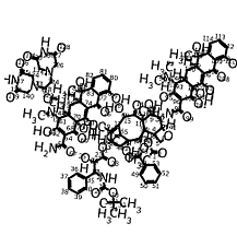 CC(=O)O[C@@]12CO[C@@H]1C[C@H](O)[C@@]1(C)C(=O)[C@H](O)C3=C(C)[C@@H](OC(=O)[C@H](O)[C@@H](NC(=O)OC(C)(C)C)c4ccccc4)C[C@@](O)([C@@H](OC(=O)c4ccccc4)[C@H]21)C3(C)C.CN(C)[C@@H]1C(O)=C(C(N)=O)C(=O)[C@@]2(O)C(O)=C3C(=O)c4c(O)cccc4[C@@](C)(O)[C@H]3C[C@@H]12.CN(C)[C@@H]1C(O)=C(C(N)=O)C(=O)[C@@]2(O)C(O)=C3C(=O)c4c(O)cccc4[C@@](C)(O)[C@H]3C[C@@H]12.C[C@@H](CN1CC(=O)NC(=O)C1)N1CC(=O)NC(=O)C1